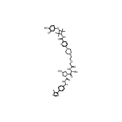 Cc1ncsc1-c1ccc([C@H](C)NC(=O)[C@@H]2C[C@@H](O)CN2C(=O)[C@@H](NC(=O)COCCN2CCN(c3ccc(C(=O)NC4C(C)(C)C(Oc5ccc(C#N)c(Cl)c5)C4(C)C)nc3)CC2)C(C)(C)C)cc1